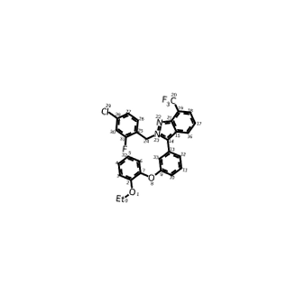 CCOc1ccccc1Oc1cccc(-c2c3cccc(C(F)(F)F)c3nn2Cc2ccc(Cl)cc2F)c1